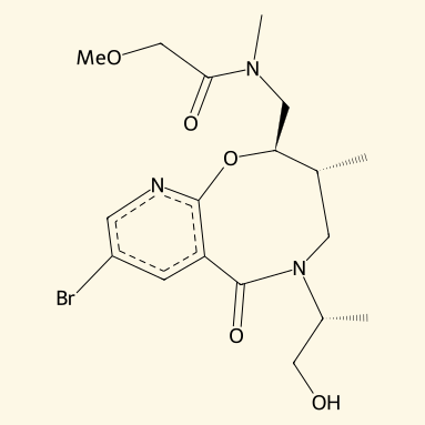 COCC(=O)N(C)C[C@@H]1Oc2ncc(Br)cc2C(=O)N([C@H](C)CO)C[C@H]1C